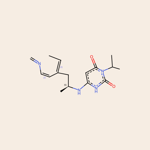 C=N/C=C\C(=C/C)C[C@H](C)Nc1cc(=O)n(C(C)C)c(=O)[nH]1